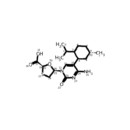 CC(C)C1CC[C@H](C)CC1c1cn([C@H]2CS[C@@H](C(=O)O)O2)c(=O)nc1N